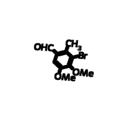 COc1cc(C=O)c(C)c(Br)c1OC